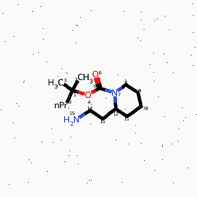 CCCC(C)(C)OC(=O)N1CCCCC1CCN